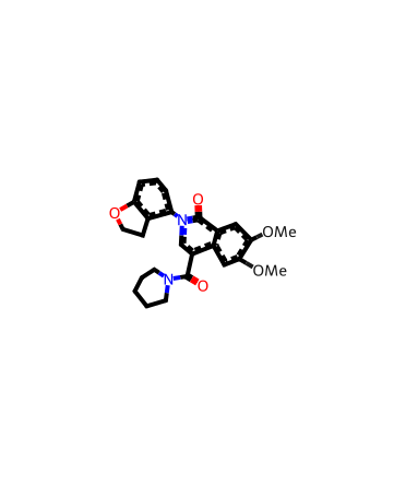 COc1cc2c(C(=O)N3CCCCC3)cn(-c3cccc4c3CCO4)c(=O)c2cc1OC